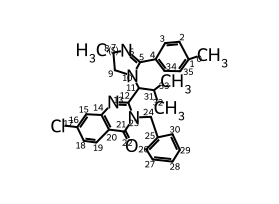 Cc1ccc(C2=N[C@@H](C)CN2C(c2nc3cc(Cl)ccc3c(=O)n2Cc2ccccc2)C(C)C)cc1